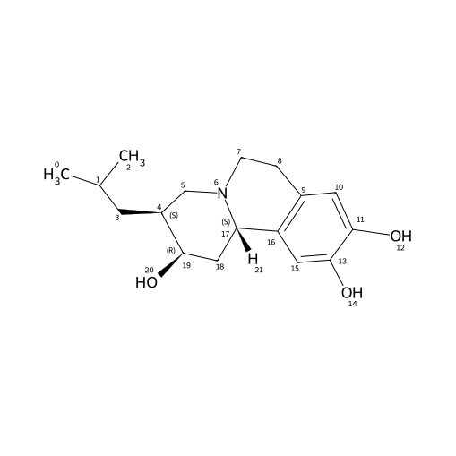 CC(C)C[C@H]1CN2CCc3cc(O)c(O)cc3[C@@H]2C[C@H]1O